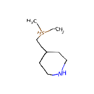 C[SH](C)CC1CCNCC1